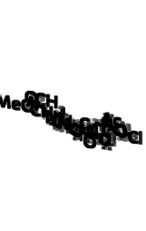 COC(=O)C(C)(C)CCN1CCN(c2ccc(C(=O)N3c4ccccc4C(N(C(C)=O)c4ccc(Cl)cc4)CC3C)cc2)CC1